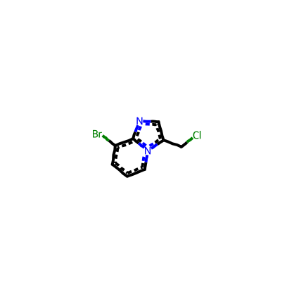 ClCc1cnc2c(Br)cccn12